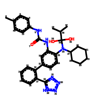 Cc1ccc(NC(=O)Nc2cc(-c3ccccc3-c3nnn[nH]3)ccc2N(C2CCCCC2)C(O)(O)C(C)C)cc1